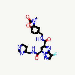 Cn1c(=O)oc2ccc(CNC(=O)c3cc(C(=O)NCc4ccncn4)n4ncc(F)c4n3)cc21